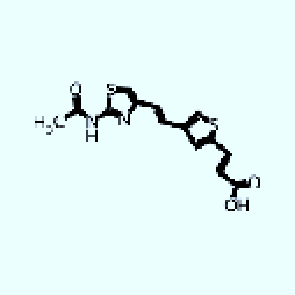 CC(=O)Nc1nc(C=Cc2csc(C=CC(=O)O)c2)cs1